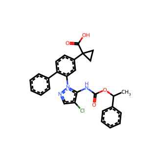 CC(OC(=O)Nc1c(Cl)cnn1-c1cc(C2(C(=O)O)CC2)ccc1-c1ccccc1)c1ccccc1